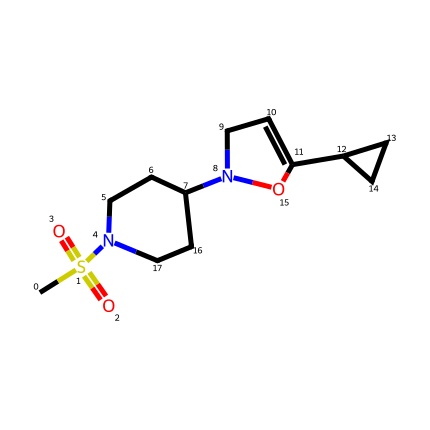 CS(=O)(=O)N1CCC(N2CC=C(C3CC3)O2)CC1